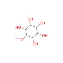 OC1C(O)C(O)C(OI)C(O)C1O